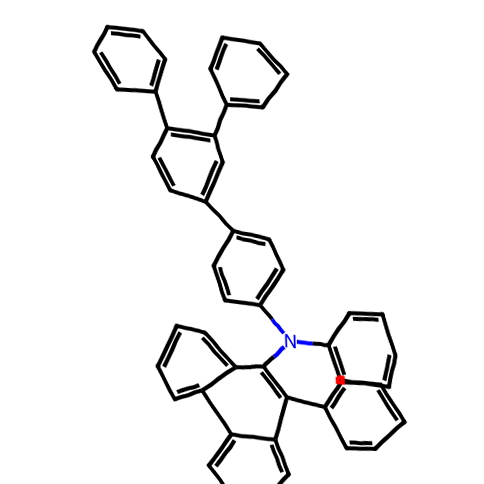 c1ccc(-c2ccc(-c3ccc(N(c4ccccc4)c4c(-c5ccccc5)c5ccccc5c5ccccc45)cc3)cc2-c2ccccc2)cc1